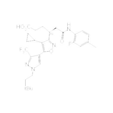 Cc1ccc(NC(=O)C[C@H](CCC(=O)O)c2noc(-c3cn(CCC(C)(C)C)nc3C(F)(F)F)c2C2CC2)c(F)c1